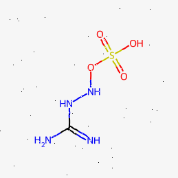 N=C(N)NNOS(=O)(=O)O